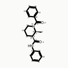 C[C@H]1[C@@H](C(=O)Nc2ccccc2)CCCN1C(=O)c1ccccc1